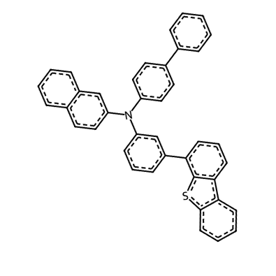 c1ccc(-c2ccc(N(c3cccc(-c4cccc5c4sc4ccccc45)c3)c3ccc4ccccc4c3)cc2)cc1